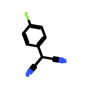 N#CC(C#N)c1ccc(F)cc1